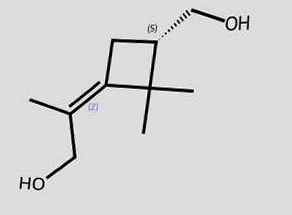 C/C(CO)=C1\C[C@H](CO)C1(C)C